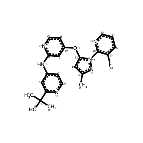 CC(C)(O)c1cc(Nc2cc(Oc3cc(C(F)(F)F)nn3-c3ncccc3F)ccn2)ccn1